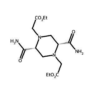 CCOC(=O)CN1C[C@H](C(N)=O)N(CC(=O)OCC)C[C@@H]1C(N)=O